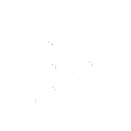 CCCN(CCC)C(=S)S.O=C1C=C(N2CC2)C(=O)C(N2CC2)=C1N1CC1